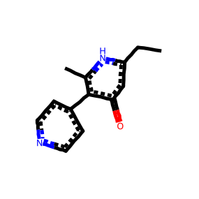 CCc1cc(=O)c(-c2ccncc2)c(C)[nH]1